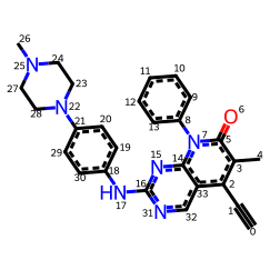 C#Cc1c(C)c(=O)n(-c2ccccc2)c2nc(Nc3ccc(N4CCN(C)CC4)cc3)ncc12